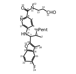 CCCCCC(C)C(Nc1ccc(C(=O)N(C)CCC=O)nc1)c1oc2ccc(F)cc2c1C